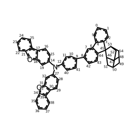 c1ccc2c(c1)-c1cc(-c3ccc(N(c4ccc5c(c4)oc4ccccc45)c4ccc5c(c4)oc4ccccc45)cc3)ccc1C21C2CC3CC(C2)CC1C3